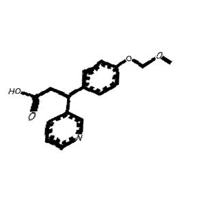 COCOc1ccc(C(CC(=O)O)c2cccnc2)cc1